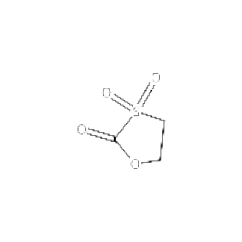 O=C1OCCS1(=O)=O